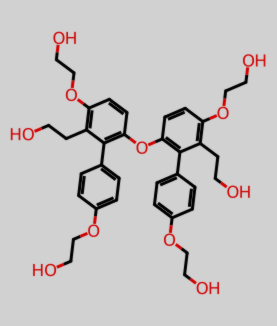 OCCOc1ccc(-c2c(Oc3ccc(OCCO)c(CCO)c3-c3ccc(OCCO)cc3)ccc(OCCO)c2CCO)cc1